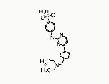 CCN(CC)Cc1ccc(-c2ccnc(Nc3ccc(S(N)(=O)=O)cc3)n2)s1